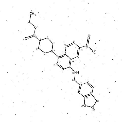 CCOC(=O)C1CCN(c2nnc(NCc3ccc4c(c3)OOC4)c3cc([N+](=O)[O-])ccc23)CC1